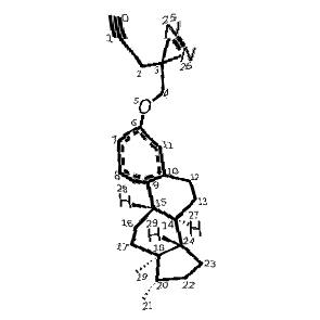 C#CCC1(COc2ccc3c(c2)CC[C@@H]2[C@@H]3CC[C@]3(C)[C@@H](C)CC[C@@H]23)N=N1